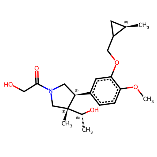 COc1ccc([C@@H]2CN(C(=O)CO)C[C@@]2(C)[C@@H](C)O)cc1OCC1C[C@H]1C